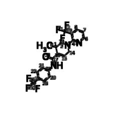 C[C@H]1CN(c2ncccc2C(F)(F)F)CC=C1C(=O)Nc1ccc(C(F)(F)F)cc1